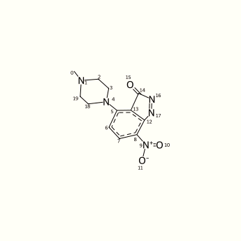 CN1CCN(c2ccc([N+](=O)[O-])c3c2C(=O)N=N3)CC1